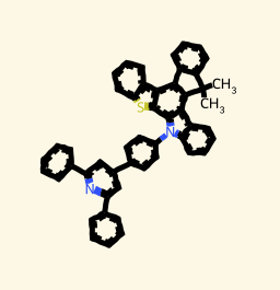 CC1(C)c2ccccc2-c2c1c1c3ccccc3n(-c3ccc(-c4cc(-c5ccccc5)nc(-c5ccccc5)c4)cc3)c1c1sc3ccccc3c21